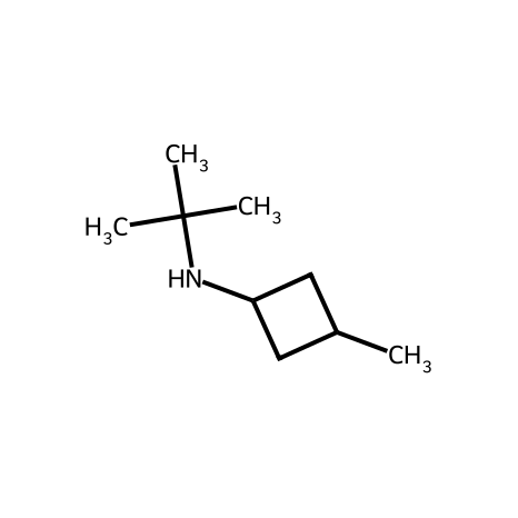 CC1CC(NC(C)(C)C)C1